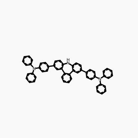 c1ccc(N(c2ccccc2)c2ccc(-c3ccc4c(c3)-c3ccccc3-c3cc(-c5ccc(N(c6ccccc6)c6ccccc6)cc5)ccc3N4)cc2)cc1